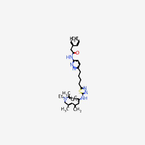 C=C(/C=C(\C)CN(CC)C(=C)C)CC(=C)Nc1nnc(CCCCc2ccc(NC(=O)CC(/C=C\C)=C/C)nn2)s1